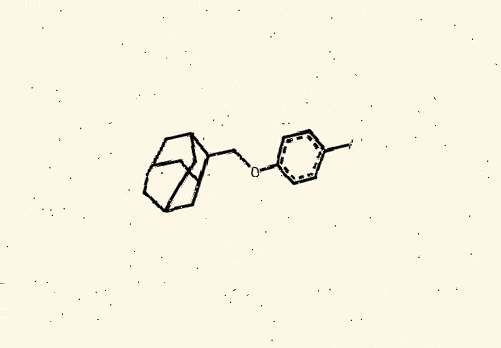 Ic1ccc(OCC2C3CC4CC(C3)CC2C4)cc1